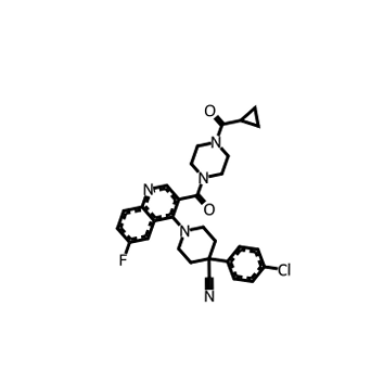 N#CC1(c2ccc(Cl)cc2)CCN(c2c(C(=O)N3CCN(C(=O)C4CC4)CC3)cnc3ccc(F)cc23)CC1